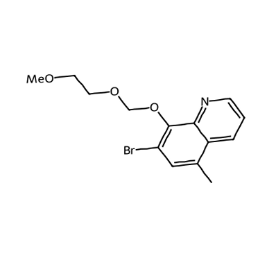 COCCOCOc1c(Br)cc(C)c2cccnc12